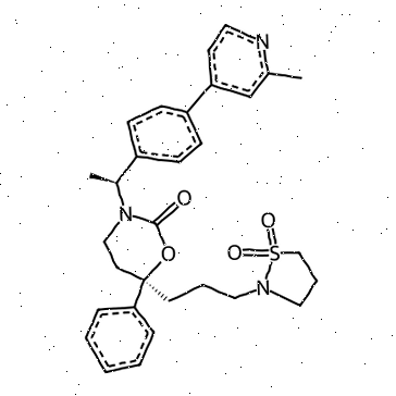 Cc1cc(-c2ccc([C@H](C)N3CC[C@](CCCN4CCCS4(=O)=O)(c4ccccc4)OC3=O)cc2)ccn1